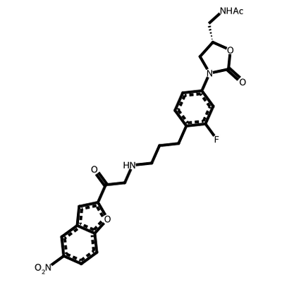 CC(=O)NC[C@H]1CN(c2ccc(CCCNCC(=O)c3cc4cc([N+](=O)[O-])ccc4o3)c(F)c2)C(=O)O1